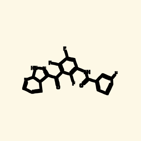 O=C(Nc1cc(F)c(F)c(C(=O)C2=NNC3N=CC=CC23)c1F)c1cccc(F)c1